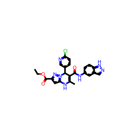 CCOC(=O)c1cc2n(n1)C(c1ccc(Cl)nc1)C(C(=O)Nc1ccc3[nH]ncc3c1)=C(C)N2